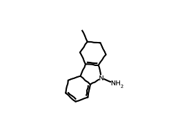 CC1CCC2=C(C1)C1CC=CC=C1N2N